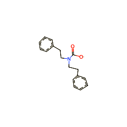 [O]C(=O)N(CCc1ccccc1)CCc1ccccc1